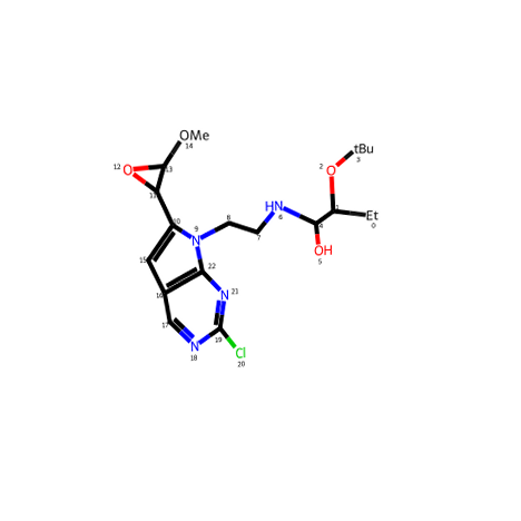 CCC(OC(C)(C)C)C(O)NCCn1c(C2OC2OC)cc2cnc(Cl)nc21